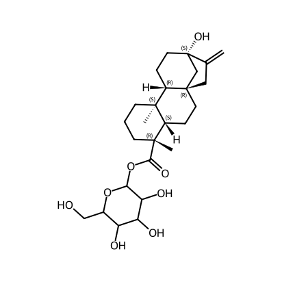 C=C1C[C@@]23CC[C@H]4[C@@](C)(CCC[C@@]4(C)C(=O)OC4OC(CO)C(O)C(O)C4O)[C@@H]2CC[C@]1(O)C3